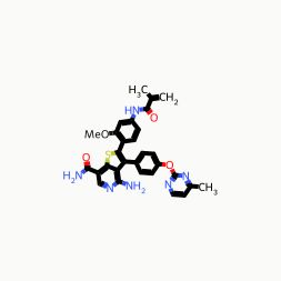 C=C(C)C(=O)Nc1ccc(-c2sc3c(C(N)=O)cnc(N)c3c2-c2ccc(Oc3nccc(C)n3)cc2)c(OC)c1